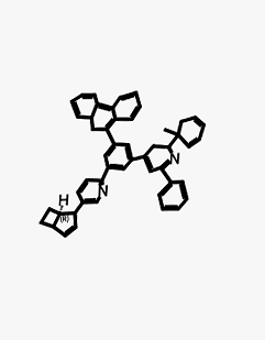 CC1(C2CC(c3cc(C4=c5ccccc5=C5C=CC=CC5C4)cc(-c4ccc(C5C=CC6CC[C@H]65)cn4)c3)=CC(c3ccccc3)=N2)C=CC=CC1